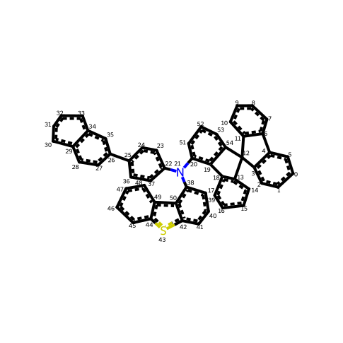 c1ccc2c(c1)-c1ccccc1C21c2ccccc2-c2c(N(c3ccc(-c4ccc5ccccc5c4)cc3)c3cccc4sc5ccccc5c34)cccc21